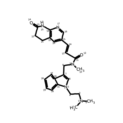 CN(C)CCn1cc(CN(C)C(=O)C=Cc2cnc3c(c2)CCC(=O)N3)c2ccccc21